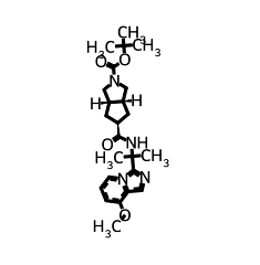 COc1cccn2c(C(C)(C)NC(=O)[C@H]3C[C@@H]4CN(C(=O)OC(C)(C)C)C[C@@H]4C3)ncc12